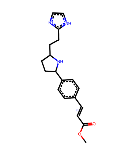 COC(=O)/C=C/c1ccc(C2CCC(CCc3ncc[nH]3)N2)cc1